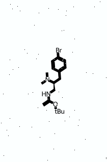 C=C(NC[C@H](Cc1ccc(Br)cc1)N(C)C)OC(C)(C)C